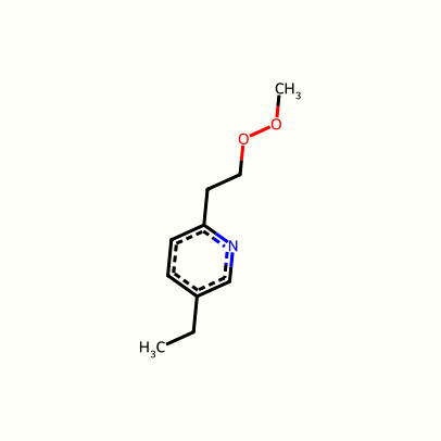 CCc1ccc(CCOOC)nc1